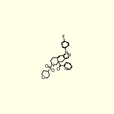 O=C(c1ccccn1)C12Cc3cnn(-c4ccc(F)cc4)c3C=C1CCN(S(=O)(=O)C1CCOCC1)C2